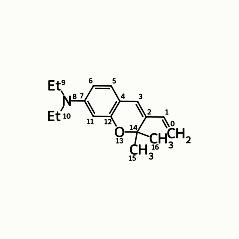 C=CC1=Cc2ccc(N(CC)CC)cc2OC1(C)C